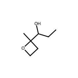 CCC(O)C1(C)CCO1